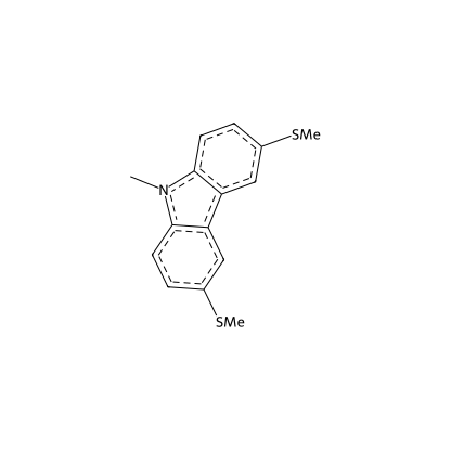 CSc1ccc2c(c1)c1cc(SC)ccc1n2C